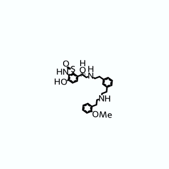 COc1ccccc1CCNCCc1cccc(CCNC[C@H](O)c2ccc(O)c3[nH]c(=O)sc23)c1